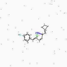 N=C(C=C1CCC1)/C=C\C(Cl)=C\c1ccc(F)cc1